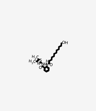 Cc1nc(NC(=O)c2ccccc2NC(=O)CCCCCCCCCCCO)sc1C